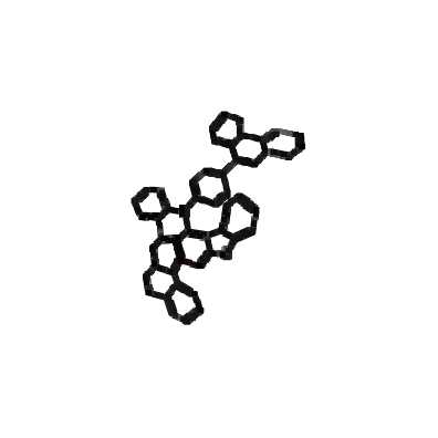 c1ccc(N(c2ccc(-c3cc4ccccc4c4ccccc34)cc2)c2cccc3oc4ccccc4c23)c(-c2ccc3c(ccc4ccccc43)c2)c1